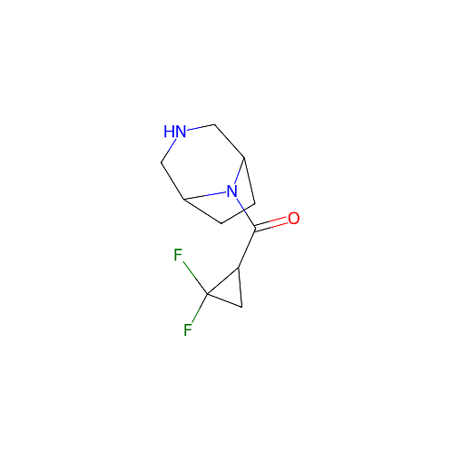 O=C(C1CC1(F)F)N1C2CCC1CNC2